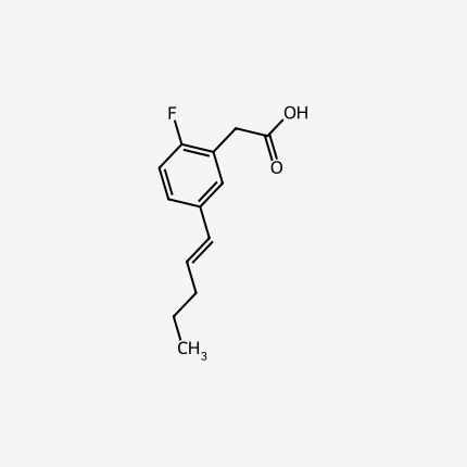 CCCC=Cc1ccc(F)c(CC(=O)O)c1